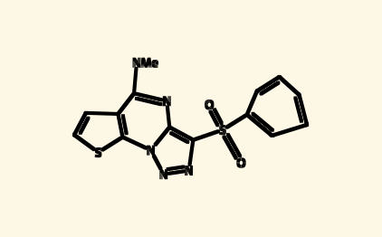 CNc1nc2c(S(=O)(=O)c3ccccc3)nnn2c2sccc12